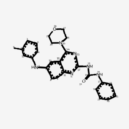 Cc1cccc(Nc2ccc3nc(NC(=O)Nc4ccccc4)nc(N4CCOCC4)c3c2)c1